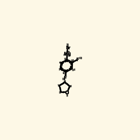 C1CCOC1.Fc1cc[c]([Mg][Br])c(F)c1